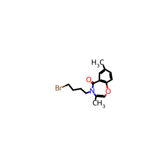 CC1=COc2ccc(C)cc2C(=O)N1CCCCBr